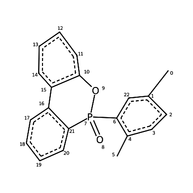 Cc1ccc(C)c(P2(=O)Oc3ccccc3-c3ccccc32)c1